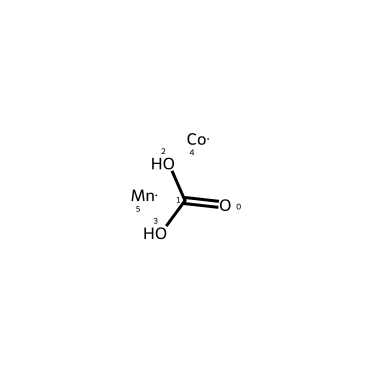 O=C(O)O.[Co].[Mn]